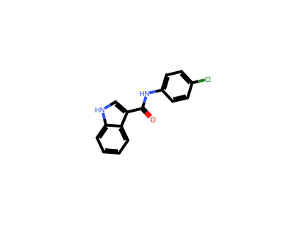 O=C(Nc1ccc(Cl)cc1)c1c[nH]c2ccccc12